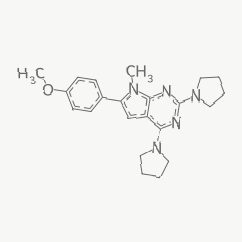 COc1ccc(-c2cc3c(N4CCCC4)nc(N4CCCC4)nc3n2C)cc1